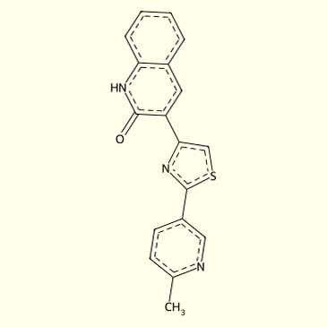 Cc1ccc(-c2nc(-c3cc4ccccc4[nH]c3=O)cs2)cn1